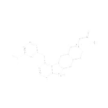 C=C(O)CN1CCC2Cc3[nH]c4cccc(Cc5cccc(OC)c5)c4c3CC2C1